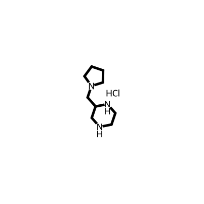 C1CCN(CC2CNCCN2)C1.Cl